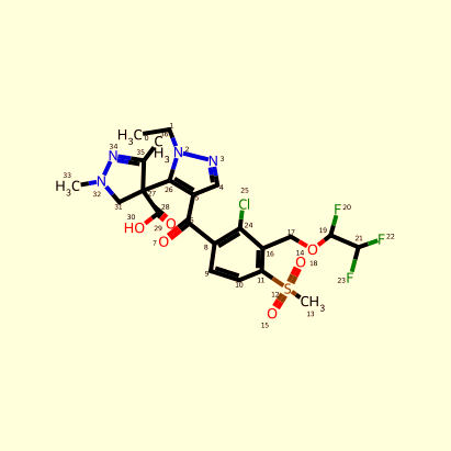 CCn1ncc(C(=O)c2ccc(S(C)(=O)=O)c(COC(F)C(F)F)c2Cl)c1C1(C(=O)O)CN(C)N=C1C